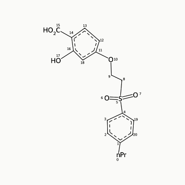 CCCc1ccc(S(=O)(=O)CCOc2ccc(C(=O)O)c(O)c2)cc1